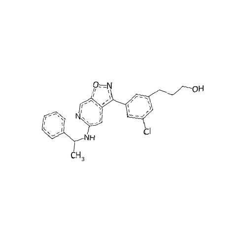 CC(Nc1cc2c(-c3cc(Cl)cc(CCCO)c3)noc2cn1)c1ccccc1